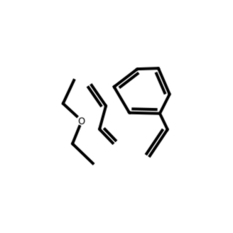 C=CC=C.C=Cc1ccccc1.CCOCC